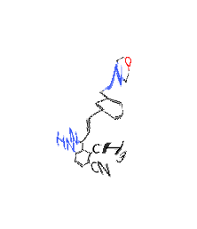 Cc1c(C#N)ccc2[nH]nc(/C=C/c3cccc(CN4CCOCC4)c3)c12